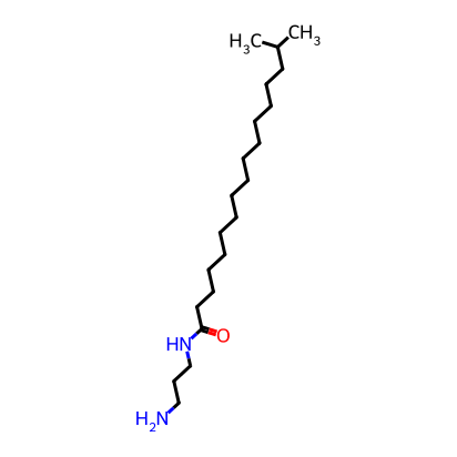 CC(C)CCCCCCCCCCCCCCC(=O)NCCCN